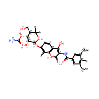 COc1cc(C(=O)Nc2c(O)c3ccc(O[C@@H]4OC(C)(C)[C@H](CO)[C@@H](OC(N)=O)[C@H]4O)c(C)c3oc2=O)cc(OC)c1C